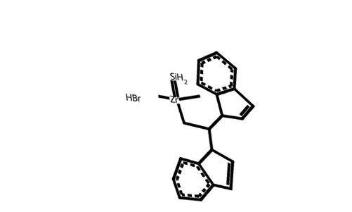 Br.[CH3][Zr]([CH3])(=[SiH2])[CH2]C(C1C=Cc2ccccc21)C1C=Cc2ccccc21